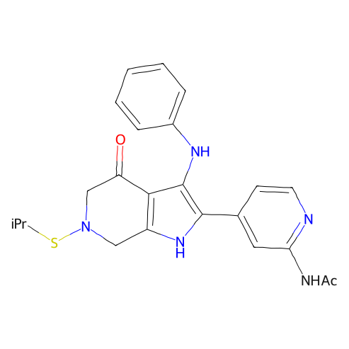 CC(=O)Nc1cc(-c2[nH]c3c(c2Nc2ccccc2)C(=O)CN(SC(C)C)C3)ccn1